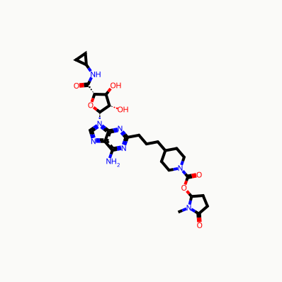 CN1C(=O)CCC1OC(=O)N1CCC(CCCc2nc(N)c3ncn([C@@H]4O[C@H](C(=O)NC5CC5)C(O)[C@@H]4O)c3n2)CC1